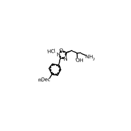 CCCCCCCCCCc1ccc(-c2noc(CC(O)CN)n2)cc1.Cl